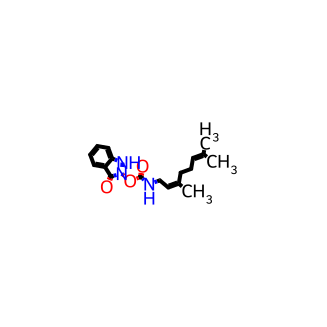 CC(C)=CCCC(C)=CCNC(=O)On1[nH]c2ccccc2c1=O